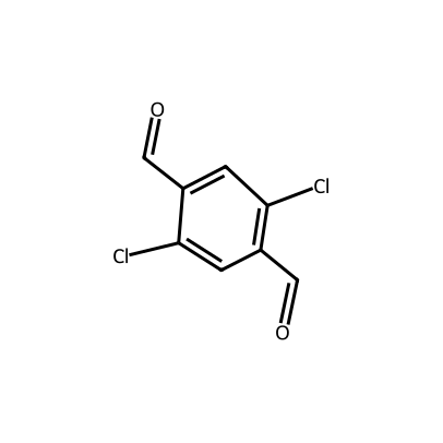 O=Cc1cc(Cl)c(C=O)cc1Cl